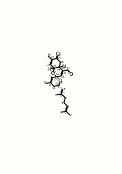 CC(C)=CCC/C(C)=C/[C@@H]1CC(C)=C[C@]2(C=C(C=O)[C@H]3CC(=O)C(C)=C[C@H]3O2)O1